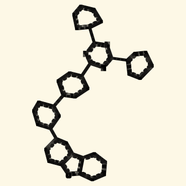 c1ccc(-c2nc(-c3ccccc3)nc(-c3ccc(-c4cccc(-c5ccc6oc7ccccc7c6c5)c4)cc3)n2)cc1